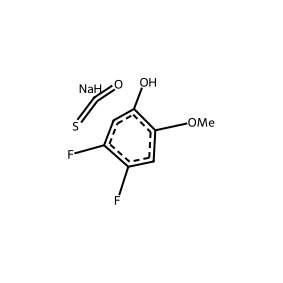 COc1cc(F)c(F)cc1O.O=C=S.[NaH]